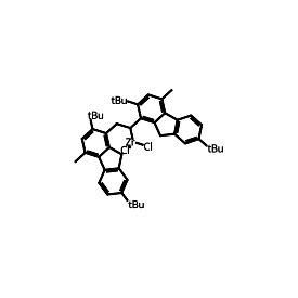 Cc1cc(C(C)(C)C)c(C[CH](c2c(C(C)(C)C)cc(C)c3c2Cc2cc(C(C)(C)C)ccc2-3)[Zr]([Cl])[Cl])c2c1-c1ccc(C(C)(C)C)cc1C2